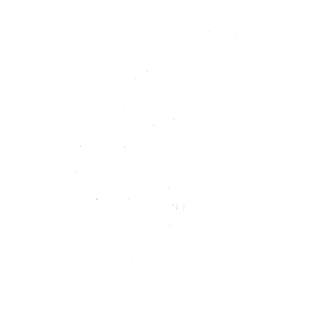 c1ccc2c(c1)ccc1[nH]c3cc(-c4ccc5oc6ccccc6c5c4)c4ccccc4c3c12